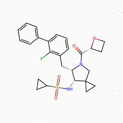 O=C([C@H]1CCO1)N1CC2(CC2)[C@H](NS(=O)(=O)C2CC2)[C@@H]1Cc1cccc(-c2ccccc2)c1F